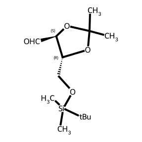 CC1(C)O[C@H](C=O)[C@@H](CO[Si](C)(C)C(C)(C)C)O1